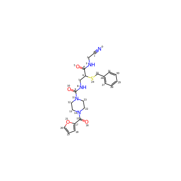 N#CCNC(=O)C(CNC(=O)N1CCN(C(=O)c2ccco2)CC1)SCc1ccccc1